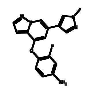 Cn1cc(-c2cc(Oc3ccc(N)cc3F)c3ccnn3c2)cn1